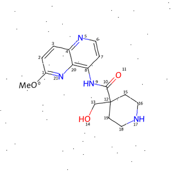 COc1ccc2nccc(NC(=O)C3(CO)CCNCC3)c2n1